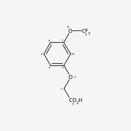 O=C(O)COc1cccc(OC(F)(F)F)c1